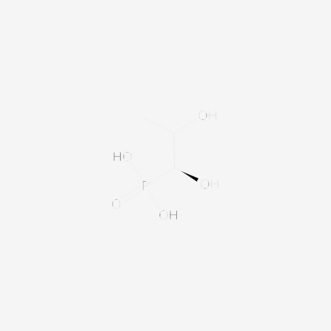 CC(O)[C@@H](O)P(=O)(O)O